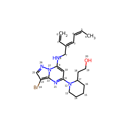 C=C/C(=C\C=C/C)CNc1cc(N2CCCCC2CCO)nc2c(Br)cnn12